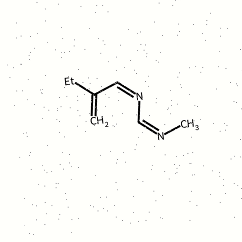 C=C(/C=N\C=N/C)CC